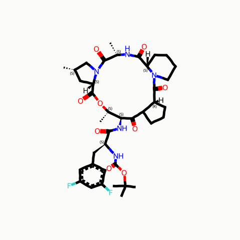 C[C@H]1C[C@H]2C(=O)O[C@@H](C)[C@H](NC(=O)[C@H](Cc3cc(F)cc(F)c3)NC(=O)OC(C)(C)C)C(=O)C3CCC[C@H]3C(=O)N3CCCC[C@H]3C(=O)N[C@@H](C)C(=O)N2C1